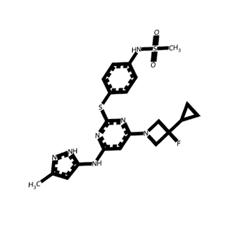 Cc1cc(Nc2cc(N3CC(F)(C4CC4)C3)nc(Sc3ccc(NS(C)(=O)=O)cc3)n2)[nH]n1